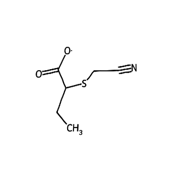 CCC(SCC#N)C([O])=O